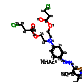 CC(=O)Nc1cc(N(CCOC(=O)CCCl)CCOC(=O)CCCl)ccc1/N=N/c1snc(C)c1C#N